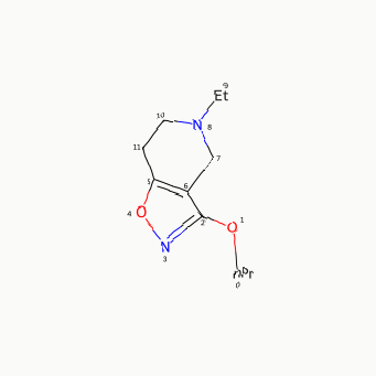 CCCOc1noc2c1CN(CC)CC2